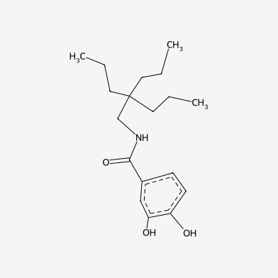 CCCC(CCC)(CCC)CNC(=O)c1ccc(O)c(O)c1